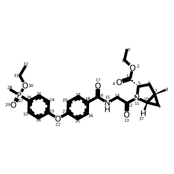 CCOC(=O)[C@@H]1C[C@]2(C)C[C@@H]2N1C(=O)CNC(=O)c1ccc(Oc2ccc(P(C)(=O)OCC)cc2)cc1